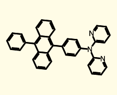 c1ccc(-c2c3ccccc3c(-c3ccc(N(c4ccccn4)c4ccccn4)cc3)c3ccccc23)cc1